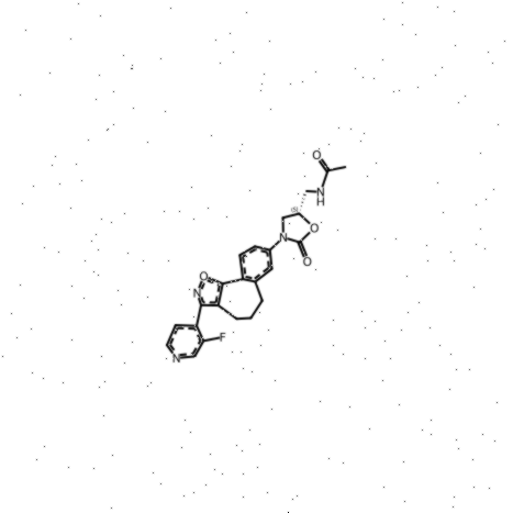 CC(=O)NC[C@H]1CN(c2ccc3c(c2)CCCc2c(-c4ccncc4F)noc2-3)C(=O)O1